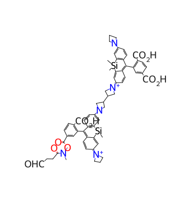 CN(OC(=O)c1ccc(C(=O)O)c(C2=C3C=CC(=[N+]4CCC4)C=C3[Si](C)(C)c3cc(N4CC(C5C[N+](=C6C=CC7=C(c8cc(C(=O)O)ccc8C(=O)O)c8ccc(N9CCC9)cc8[Si](C)(C)C7=C6)C5)C4)ccc32)c1)C(=O)CCC=O